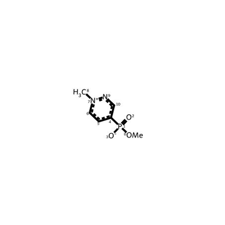 COP(=O)([O-])c1cc[n+](C)nc1